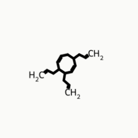 C=CCC1/C=C\C(CC=C)C(CC=C)/C=C\C1